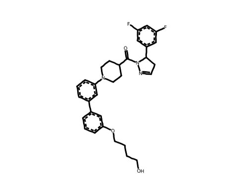 O=C(C1CCN(c2cccc(-c3cccc(OCCCCO)c3)c2)CC1)N1N=CCC1c1cc(F)cc(F)c1